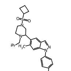 Cc1cc2c(cnn2-c2ccc(F)cc2)cc1C1CN(S(=O)(=O)C2CCC2)CCN1CC(C)C